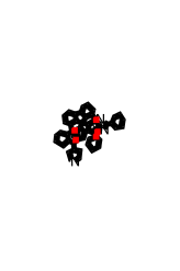 c1ccc(-c2nc(-c3ccccc3)nc(-c3cccc4c3C(c3ccccc3)(c3ccccc3)c3c-4cccc3-c3ccc(-c4ccncc4)c4ccccc34)n2)cc1